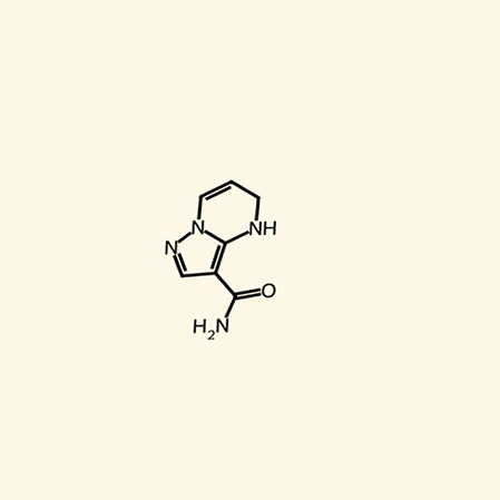 NC(=O)c1cnn2c1NCC=C2